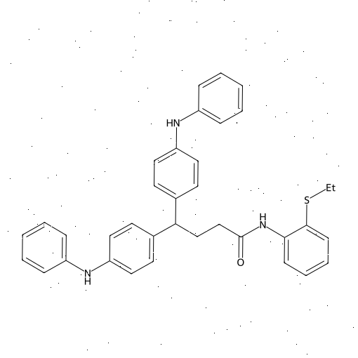 CCSc1ccccc1NC(=O)CCC(c1ccc(Nc2ccccc2)cc1)c1ccc(Nc2ccccc2)cc1